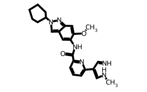 CN/C=C(\C=N)c1cccc(C(=O)Nc2cc3cn(C4CCCCC4)nc3cc2OC)n1